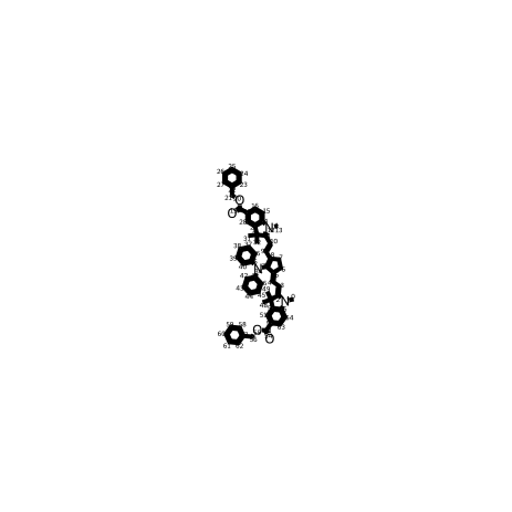 CN1/C(=C/C=C2\CCC(/C=C/C3=[N+](C)c4ccc(C(=O)OCc5ccccc5)cc4C3(C)C)=C2N(c2ccccc2)c2ccccc2)C(C)(C)c2cc(C(=O)OCc3ccccc3)ccc21